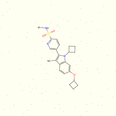 CC(C)NS(=O)(=O)c1ccc(-c2c(C#N)c3ccc(OC4CCC4)cc3n2C2CCC2)cn1